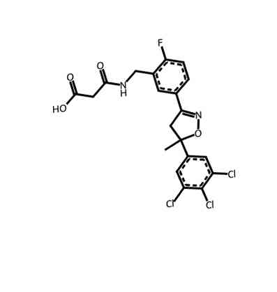 CC1(c2cc(Cl)c(Cl)c(Cl)c2)CC(c2ccc(F)c(CNC(=O)CC(=O)O)c2)=NO1